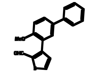 COc1ccc(-c2ccccc2)cc1-c1ccsc1C=O